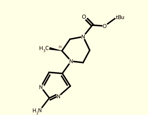 C[C@H]1CN(C(=O)OC(C)(C)C)CCN1c1cnc(N)nc1